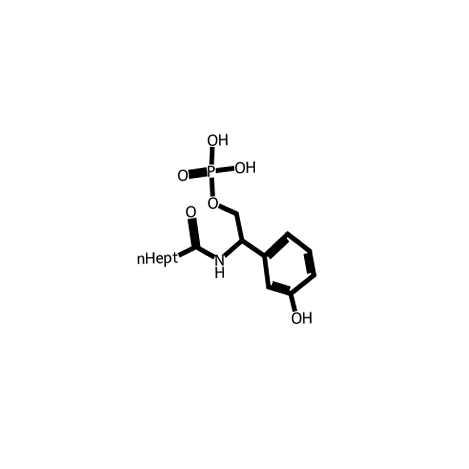 CCCCCCCC(=O)NC(COP(=O)(O)O)c1cccc(O)c1